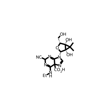 CCNC1=NC(C#N)N=C2N([C@@H]3O[C@H](CO)[C@@]4(O)C(C)(C)[C@@]34O)C=NC12C(=O)O